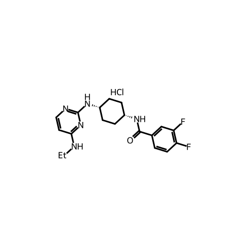 CCNc1ccnc(N[C@H]2CC[C@@H](NC(=O)c3ccc(F)c(F)c3)CC2)n1.Cl